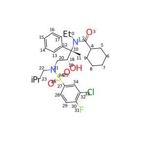 CCN(C(=O)C1CCCCC1)[C@@](C)(c1ccccc1)[C@H](O)CN(CC(C)C)S(=O)(=O)c1ccc(F)c(Cl)c1